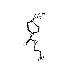 O=C(O)N1CCN(C(=O)OCCO)CC1